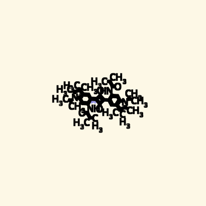 CC(C)C(=O)Nc1cc2c(cc1C1=C([O-])/C(=c3\cc4c(cc3NC(=O)C(C)C)=[N+](C(C)C)C(C)C4(C)C)C1=O)C(C)(C)C(C)N2C(C)C